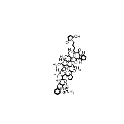 CC[C@H](C)[C@@H]([C@@H](CC(=O)N1CCC[C@H]1[C@H](OC)[C@@H](C)C(=O)N[C@@H](Cc1ccccc1)C(=O)NS(C)(=O)=O)OC)N(C)C(=O)[C@@H](NC(=O)[C@@H]1[C@H]2CC[C@H](C2)N1C(=O)CCCCCN1C(=O)C=CC1O)C(C)C